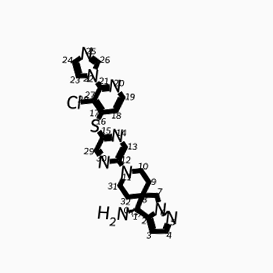 N[C@@H]1c2ccnn2CC12CCN(c1cnc(Sc3ccnc(-n4ccnc4)c3Cl)cn1)CC2